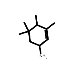 CC1=CC(N)CC(C)(C)C1C